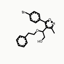 Cc1noc(-c2ccc(Br)cc2)c1C(CO)OCCc1ccccc1